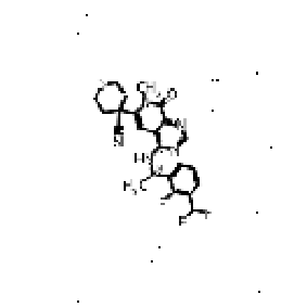 C[C@@H](Nc1ncnc2c(=O)n(C)c(C3(C#N)CCOCC3)cc12)c1cccc(C(F)F)c1F